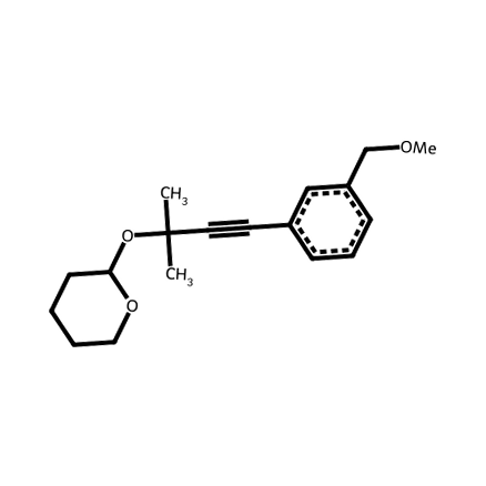 COCc1cccc(C#CC(C)(C)OC2CCCCO2)c1